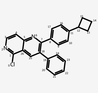 Clc1nccc2nc(-c3ccc([C]4CCC4)cc3)c(-c3ccccc3)cc12